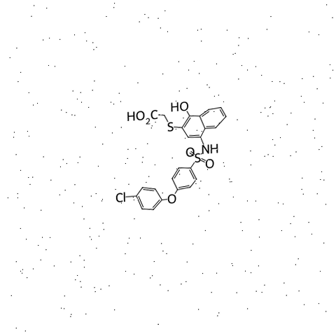 O=C(O)CSc1cc(NS(=O)(=O)c2ccc(Oc3ccc(Cl)cc3)cc2)c2ccccc2c1O